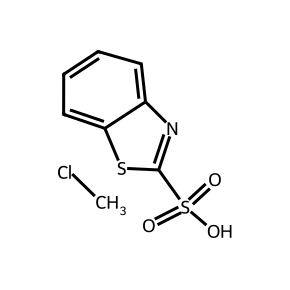 CCl.O=S(=O)(O)c1nc2ccccc2s1